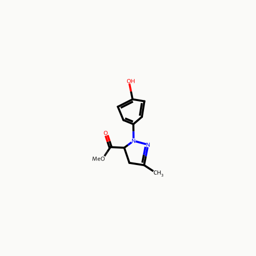 COC(=O)C1CC(C)=NN1c1ccc(O)cc1